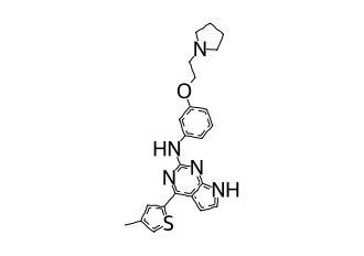 Cc1csc(-c2nc(Nc3cccc(OCCN4CCCC4)c3)nc3[nH]ccc23)c1